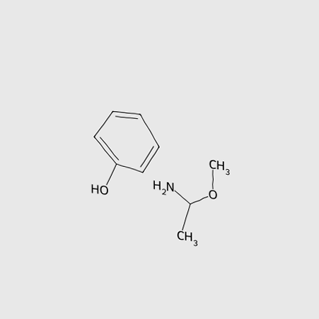 COC(C)N.Oc1ccccc1